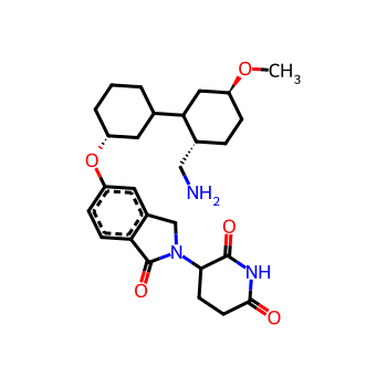 CO[C@H]1CC[C@H](CN)C(C2CCC[C@@H](Oc3ccc4c(c3)CN(C3CCC(=O)NC3=O)C4=O)C2)C1